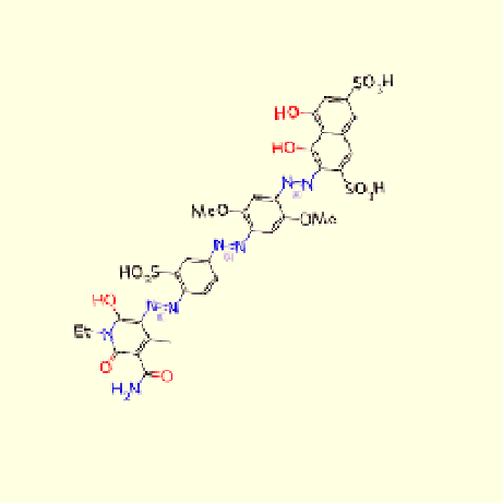 CCn1c(O)c(/N=N/c2ccc(/N=N/c3cc(OC)c(/N=N/c4c(S(=O)(=O)O)cc5cc(S(=O)(=O)O)cc(O)c5c4O)cc3OC)cc2S(=O)(=O)O)c(C)c(C(N)=O)c1=O